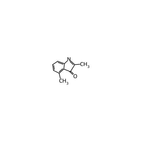 CC1=Nc2cccc(C)c2C1=O